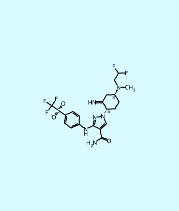 CN(CC(F)F)[C@H]1CC[C@H](n2cc(C(N)=O)c(Nc3ccc(S(=O)(=O)C(F)(F)F)cc3)n2)C(=N)C1